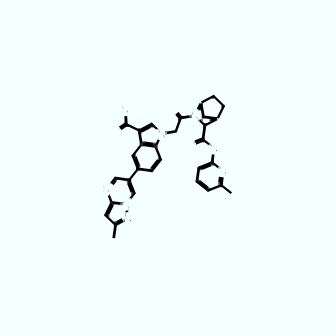 Cc1cccc(NC(=O)C2C3CCC(C3)N2C(=O)Cn2cc(C(N)=O)c3cc(-c4cnc5cc(C)nn5c4)ccc32)n1